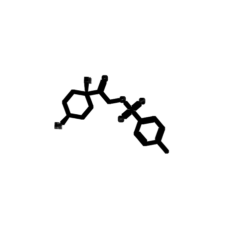 CC[C@H]1CC[C@](CC)(C(=O)COS(=O)(=O)c2ccc(C)cc2)CC1